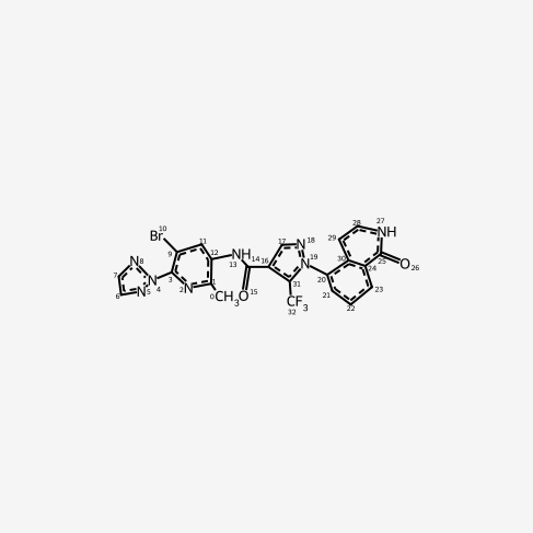 Cc1nc(-n2nccn2)c(Br)cc1NC(=O)c1cnn(-c2cccc3c(=O)[nH]ccc23)c1C(F)(F)F